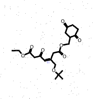 CCOC(=O)CC(=O)/C=C(/COC(C)(C)C)CC(=O)OCC1CC(=O)CCC1=O